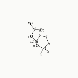 CCN(CC)O[Si]1(C)CCCC(C)(C)O1